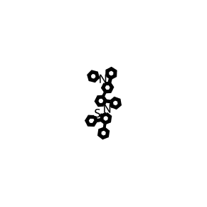 c1ccc(-c2ccc(-n3c4ccccc4c4c(-c5ccc6c7ccccc7n(-c7ccccc7)c6c5)cccc43)c3sc4ccccc4c23)cc1